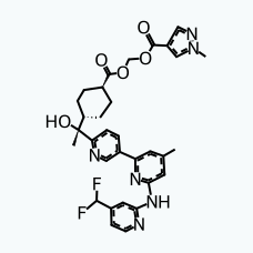 Cc1cc(Nc2cc(C(F)F)ccn2)nc(-c2ccc([C@](C)(O)[C@H]3CC[C@H](C(=O)OCOC(=O)c4cnn(C)c4)CC3)nc2)c1